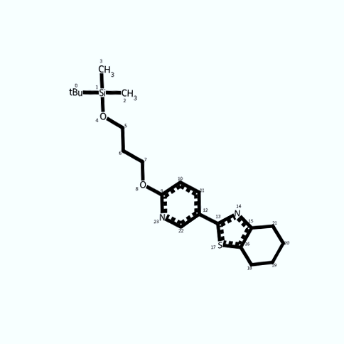 CC(C)(C)[Si](C)(C)OCCCOc1ccc(-c2nc3c(s2)CCCC3)cn1